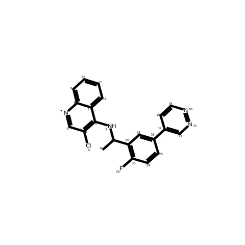 CC(Nc1c(Cl)cnc2ccccc12)c1cc(-c2ccnnc2)ccc1F